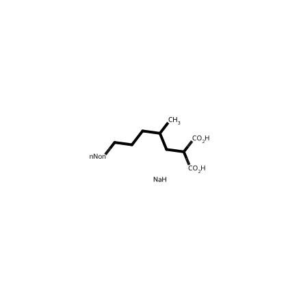 CCCCCCCCCCCCC(C)CC(C(=O)O)C(=O)O.[NaH]